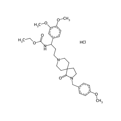 CCOC(=O)NC(CCN1CCC2(CC1)CCN(Cc1ccc(OC)cc1)C2=O)c1ccc(OC)c(OC)c1.Cl